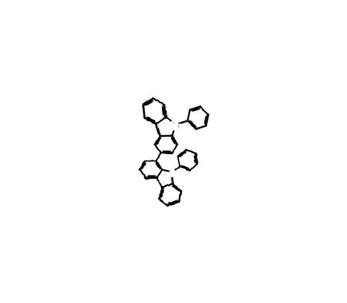 c1ccc(-n2c3ccccc3c3cc(-c4cccc5c6ccccc6p(-c6ccccc6)c45)ccc32)cc1